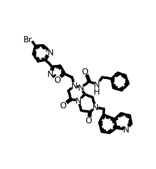 O=C1CN2C(=O)CN(Cc3cc(-c4ccc(Br)cn4)no3)N(C(=O)NCc3ccccc3)C2CN1Cc1cccc2ncccc12